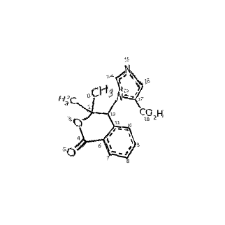 CC1(C)OC(=O)c2ccccc2C1n1cncc1C(=O)O